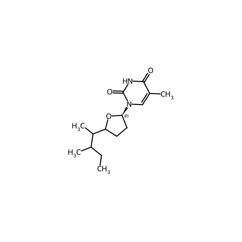 CCC(C)C(C)C1CC[C@H](n2cc(C)c(=O)[nH]c2=O)O1